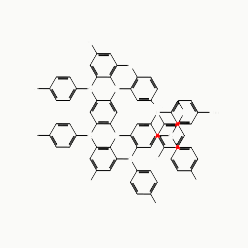 CC(C)(C)c1ccc(N2c3cc4c(cc3B3c5cc(C(C)(C)C)ccc5Oc5cc(C(C)(C)C)cc2c53)B2c3cc5c(cc3N(c3ccc(C(C)(C)C)cc3)c3cc(C(C)(C)C)cc(c32)N4c2ccc(C(C)(C)C)cc2)N(c2ccc(C(C)(C)C)cc2)c2cc(C(C)(C)C)cc3c2B5c2cc(C(C)(C)C)ccc2O3)cc1